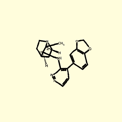 C[C@@H]1[C@@H](Nc2nnccc2-c2ccc3c(c2)OCO3)C2CCN1CC2